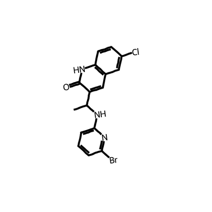 CC(Nc1cccc(Br)n1)c1cc2cc(Cl)ccc2[nH]c1=O